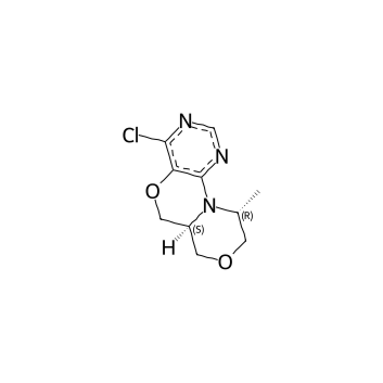 C[C@@H]1COC[C@H]2COc3c(Cl)ncnc3N21